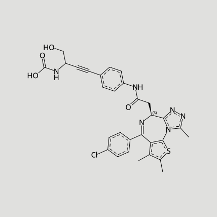 Cc1sc2c(c1C)C(c1ccc(Cl)cc1)=N[C@@H](CC(=O)Nc1ccc(C#CC(CO)NC(=O)O)cc1)c1nnc(C)n1-2